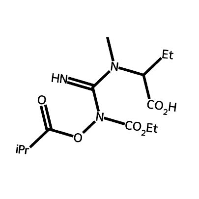 CCOC(=O)N(OC(=O)C(C)C)C(=N)N(C)C(CC)C(=O)O